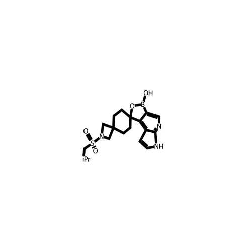 CC(C)CS(=O)(=O)N1CC2(CCC3(CC2)OB(O)c2cnc4[nH]ccc4c23)C1